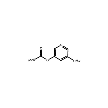 CNC(=O)Oc1cncc(OC)c1